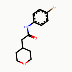 O=C(CC1CCOCC1)Nc1ccc(Br)cc1